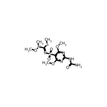 COc1nc(NC(N)=O)nc(OC)c1S(=O)(=O)N=C(SC)N(C)OC